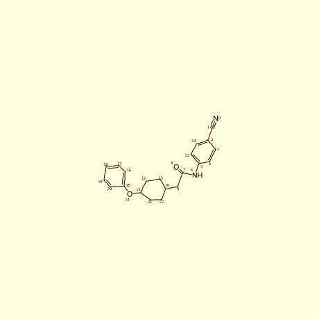 N#Cc1ccc(NC(=O)CC2CCC(Oc3ccccc3)CC2)cc1